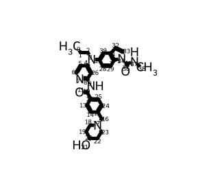 CCCN(c1ccnc(NC(=O)c2ccc(CN3CCC(O)CC3)cc2)c1)c1ccc2c(ccn2C(=O)NC)c1